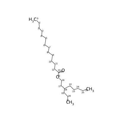 CCCCCCCCCCCCCC(=O)OCCC(CCC)CCCCC